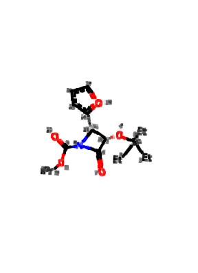 CC[Si](CC)(CC)O[C@@H]1C(=O)N(C(=O)OC(C)C)[C@@H]1c1ccco1